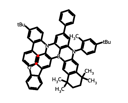 Cc1cc(C(C)(C)C)ccc1N1c2cc3c(cc2B2c4cc5c(cc4N(c4ccc(C(C)(C)C)cc4-c4ccccc4)c4cc(-c6ccccc6)cc1c42)oc1ccccc15)C(C)(C)CCC3(C)C